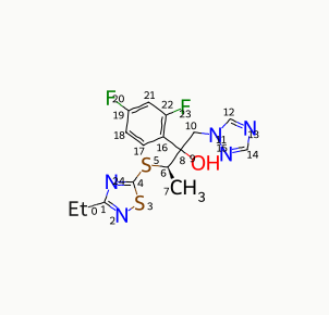 CCc1nsc(S[C@H](C)C(O)(Cn2cncn2)c2ccc(F)cc2F)n1